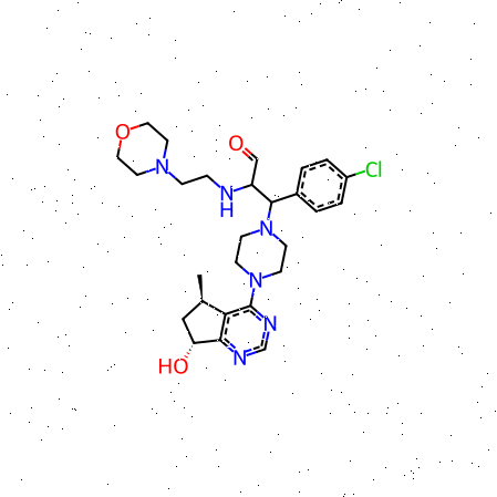 C[C@@H]1C[C@@H](O)c2ncnc(N3CCN(C(c4ccc(Cl)cc4)C(C=O)NCCN4CCOCC4)CC3)c21